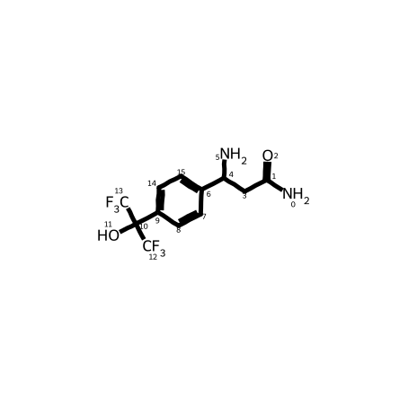 NC(=O)CC(N)c1ccc(C(O)(C(F)(F)F)C(F)(F)F)cc1